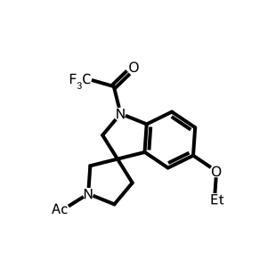 CCOc1ccc2c(c1)C1(CCN(C(C)=O)C1)CN2C(=O)C(F)(F)F